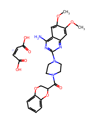 COc1cc2nc(N3CCN(C(=O)C4COc5ccccc5O4)CC3)nc(N)c2cc1OC.O=C(O)/C=C\C(=O)O